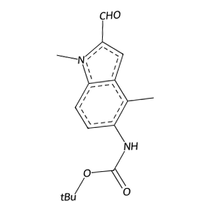 Cc1c(NC(=O)OC(C)(C)C)ccc2c1cc(C=O)n2C